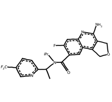 CC(C)N(C(=O)c1cc2c3c(c(N)nc2cc1F)COC3)C(C)c1ccc(C(F)(F)F)cn1